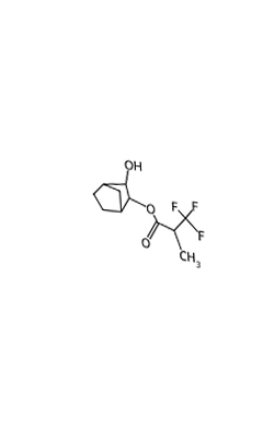 CC(C(=O)OC1C2CCC(C2)C1O)C(F)(F)F